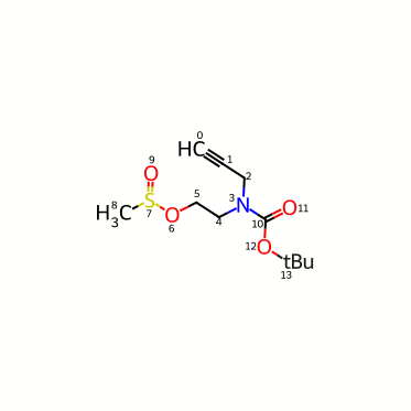 C#CCN(CCOS(C)=O)C(=O)OC(C)(C)C